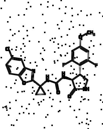 COc1cc(F)c([C@@H]2CNC(=O)[C@H]2NC(=O)NC2(c3nc4cc(Cl)ccc4o3)CC2)c(F)c1